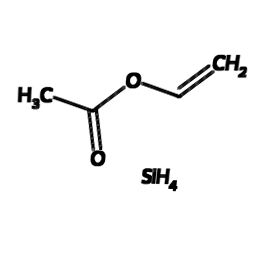 C=COC(C)=O.[SiH4]